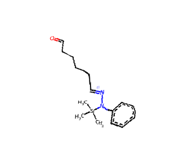 C[Si](C)(C)N(/N=C/CCCCC=O)c1ccccc1